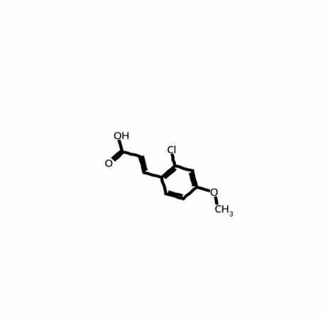 COc1ccc(C=CC(=O)O)c(Cl)c1